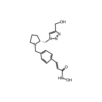 O=C(C=Cc1ccc(CN2CCC[C@@H]2Cn2cc(CO)nn2)cc1)NO